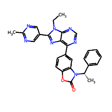 CCn1c(-c2cnc(C)nc2)nc2c(-c3ccc4oc(=O)n([C@@H](C)c5ccccc5)c4c3)ncnc21